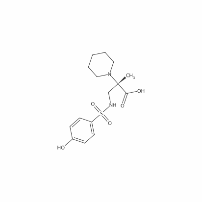 C[C@](CNS(=O)(=O)c1ccc(O)cc1)(C(=O)O)N1CCCCC1